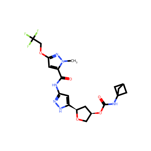 Cn1nc(OCC(F)(F)F)cc1C(=O)Nc1cc([C@H]2C[C@@H](OC(=O)NC34CC(C3)C4)CO2)[nH]n1